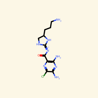 NCCCC1CN/C(=N\C(=O)c2nc(Cl)c(N)nc2N)N1